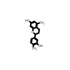 Cc1ccc(C2CCc3c(C)cc(O)cc3O2)cc1O